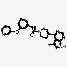 Cc1c[nH]c2ncnc(C3=CCN(C(=O)Nc4cccc(Oc5cccnc5)c4)CC3)c12